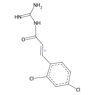 N=C(N)NC(=O)/C=C/c1ccc(Cl)cc1Cl